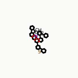 CC1(C)c2ccccc2-c2cccc(N(c3ccc(-c4ccc5sc6ccccc6c5c4)cc3)c3cccc(-c4ccccc4)c3-c3ccccc3-c3ccccc3)c21